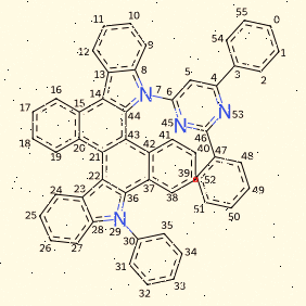 c1ccc(-c2cc(-n3c4ccccc4c4c5ccccc5c5c6c7ccccc7n(-c7ccccc7)c6c6ccccc6c5c43)nc(-c3ccccc3)n2)cc1